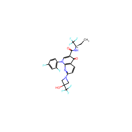 CC[C@@H](NC(=O)c1cn(-c2ccc(F)cc2F)c2nc(N3CC(O)(C(F)(F)F)C3)ccc2c1=O)C(F)(F)F